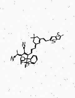 C/C(C#N)=C1/OC(c2ccccc2)(C(F)(F)F)C(/C=C/C=C2C=C(/C=C/c3cc4sc(C)cc4s3)CC(C)(C)C/2)=C1C#N